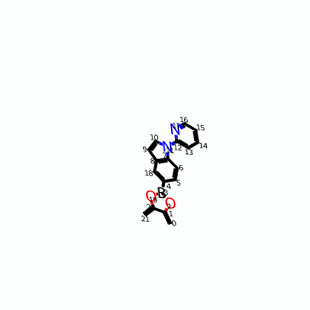 C=C1OB(c2ccc3c(ccn3-c3ccccn3)c2)OC1=C